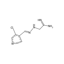 N=C(N)CN/N=C/c1ccncc1Cl